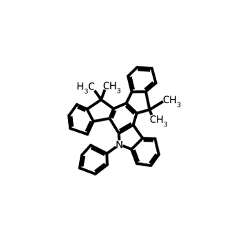 CC1(C)c2ccccc2-c2c1c1c(c3c4ccccc4n(-c4ccccc4)c23)C(C)(C)c2ccccc2-1